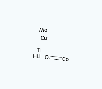 [Cu].[LiH].[Mo].[O]=[Co].[Ti]